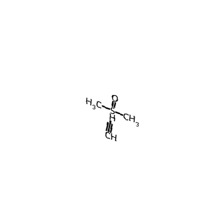 C#C[SH](C)(C)=O